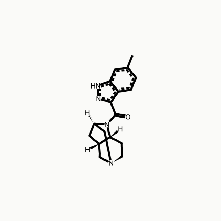 Cc1ccc2c(C(=O)N3[C@@H]4C[C@H]5C[N@](CC[C@H]53)C4)n[nH]c2c1